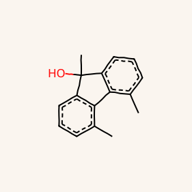 Cc1cccc2c1-c1c(C)cccc1C2(C)O